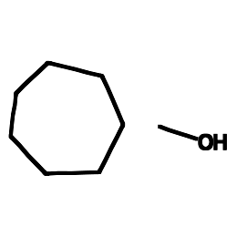 C1CCCCCC1.CO